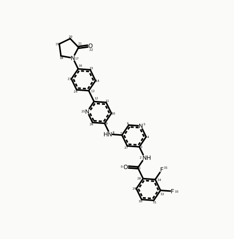 O=C(Nc1cncc(Nc2ccc(-c3ccc(N4CCCC4=O)cc3)nc2)c1)c1cccc(F)c1F